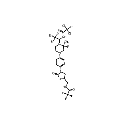 CC1(F)CN(c2ccc(N3CC(CNC(=O)C(F)(F)F)OC3=O)cc2)CCN1C(NC(=O)C(Cl)(Cl)Cl)C(Br)(Br)Br